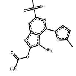 Cc1ccc(-c2nc(S(C)(=O)=O)nc3sc(OC(N)=O)c(N)c23)o1